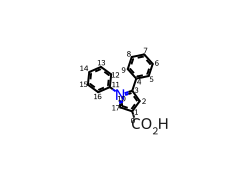 O=C(O)c1cc(-c2ccccc2)n(-c2ccccc2)c1